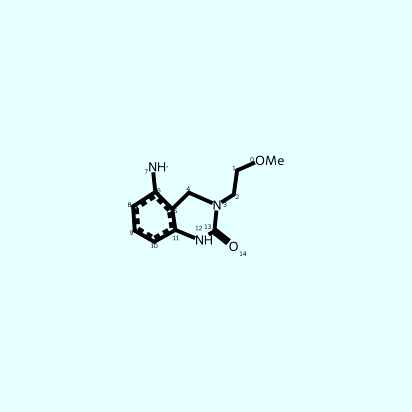 COCCN1Cc2c([NH])cccc2NC1=O